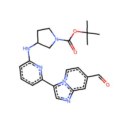 CC(C)(C)OC(=O)N1CCC(Nc2cccc(-c3cnc4cc(C=O)ccn34)n2)C1